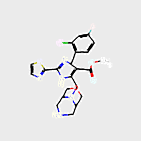 COC(=O)C1=C(CN2C3CNCC2COC3)NC(c2nccs2)=NC1c1ccc(F)cc1Cl